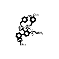 CNc1nc2c(-c3ccc(S(=O)(=O)CCN)c(S(=O)(=O)NCc4ccc(OC)cc4)c3-c3nnn(Cc4ccc(OC)cc4)n3)cccc2s1